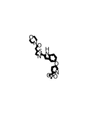 CS(=O)(=O)c1ccc(Oc2ccc3[nH]c(C4=NCC(CC(=O)N5CCOCC5)S4)cc3c2)cn1